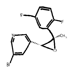 C[C@]1(c2cc(F)ccc2F)O[C@@H]1c1cncc(Br)c1